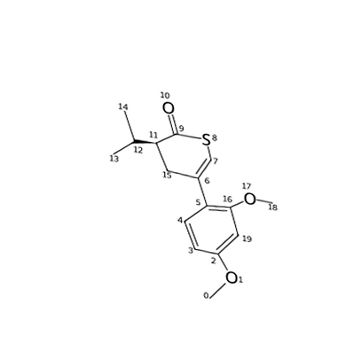 COc1ccc(C2=CSC(=O)[C@H](C(C)C)C2)c(OC)c1